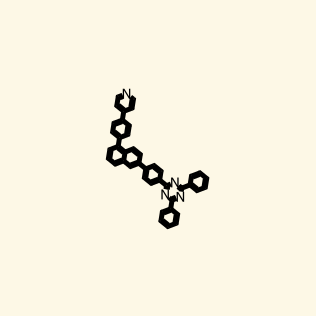 c1ccc(-c2nc(-c3ccccc3)nc(-c3ccc(-c4ccc5c(-c6ccc(-c7ccncc7)cc6)cccc5c4)cc3)n2)cc1